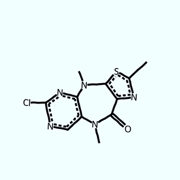 Cc1nc2c(s1)N(C)c1nc(Cl)ncc1N(C)C2=O